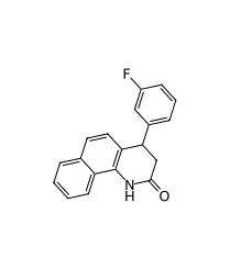 O=C1CC(c2cccc(F)c2)c2ccc3ccccc3c2N1